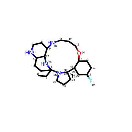 CCC12CCC3NCCC(NCCCOC4CCC(F)CC4[C@H]4CCCN41)C3N2